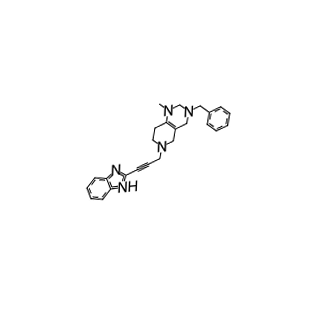 CN1CN(Cc2ccccc2)CC2=C1CCN(CC#Cc1nc3ccccc3[nH]1)C2